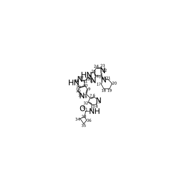 O=C(Nc1cncc(-c2cc3c(-c4nc5c(N6CCCCC6)nccc5[nH]4)n[nH]c3cn2)c1)C1CCC1